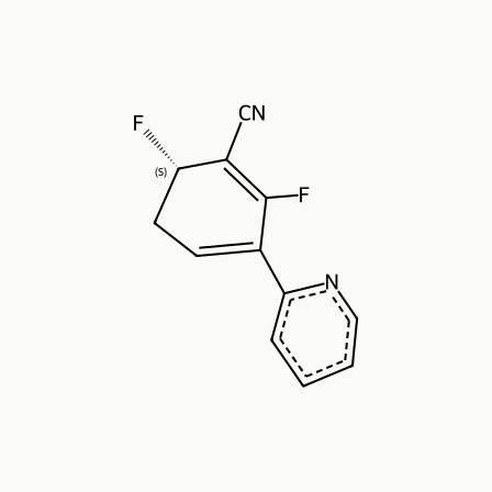 N#CC1=C(F)C(c2ccccn2)=CC[C@@H]1F